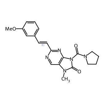 COc1cccc(/C=C/c2ncc3c(n2)n(C(=O)N2CCCC2)c(=O)n3C)c1